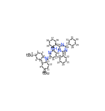 CC(C)(C)c1ccc2c(c1)c1cc(C(C)(C)C)ccc1n2-c1cc(-c2ccccc2-c2nc(-c3ccccc3)nc(-c3ccccc3)n2)cc(N)n1